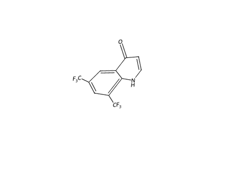 O=c1cc[nH]c2c(C(F)(F)F)cc(C(F)(F)F)cc12